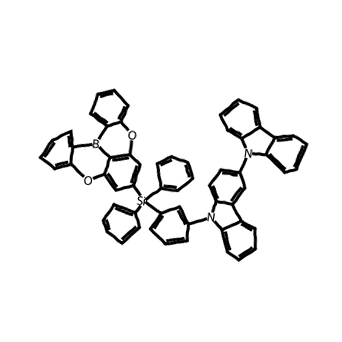 c1ccc([Si](c2ccccc2)(c2cccc(-n3c4ccccc4c4cc(-n5c6ccccc6c6ccccc65)ccc43)c2)c2cc3c4c(c2)Oc2ccccc2B4c2ccccc2O3)cc1